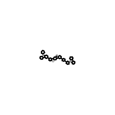 c1ccc(-n2c3ccccc3c3cc(-c4ccc5oc6cc7c(cc6c5c4)oc4ccc(-c5ccc(-c6cccc(-n8c9ccccc9c9ccccc98)c6)cc5)cc47)ccc32)cc1